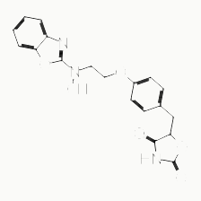 CN(CCOc1ccc(CC2OC(=O)NC2=O)cc1)c1nc2ccccc2o1